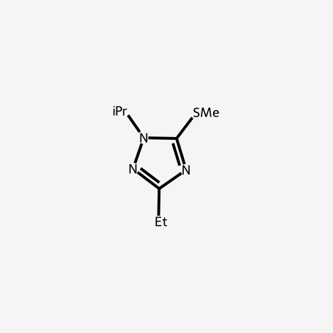 CCc1nc(SC)n(C(C)C)n1